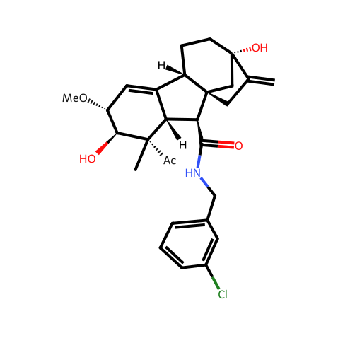 C=C1C[C@]23C[C@@]1(O)CC[C@H]2C1=C[C@@H](OC)[C@H](O)[C@@](C)(C(C)=O)[C@H]1[C@@H]3C(=O)NCc1cccc(Cl)c1